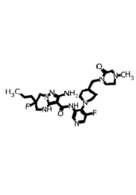 CCCC1(F)CNc2c(C(=O)Nc3cncc(F)c3N3CCC(CN4CCN(C)CC4=O)CC3)c(N)nn2C1